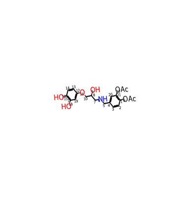 CC(=O)Oc1ccc(CNCC(O)COc2ccc(O)c(O)c2)cc1OC(C)=O